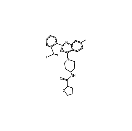 Cc1ccc2c(N3CCC(NC(=O)[C@H]4CCCO4)CC3)nc(-c3ccccc3C(F)F)nc2c1